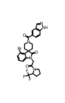 O=C(c1ccc2[nH]ncc2c1)N1CCC2(CC1)C(=O)N(CC(=O)N1CCCC1C(F)(F)F)c1cccc(Br)c12